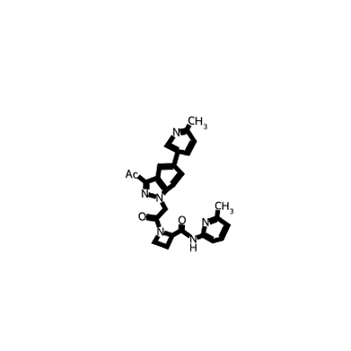 CC(=O)c1nn(CC(=O)N2CCC2C(=O)Nc2cccc(C)n2)c2ccc(-c3ccc(C)nc3)cc12